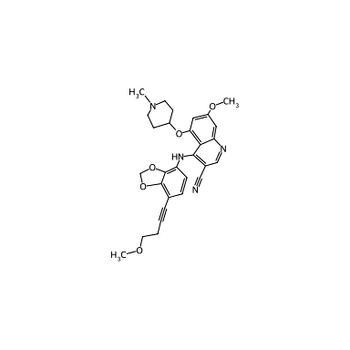 COCCC#Cc1ccc(Nc2c(C#N)cnc3cc(OC)cc(OC4CCN(C)CC4)c23)c2c1OCO2